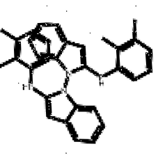 Cc1cccc(Pc2cc3ccccc3n2-n2c(Pc3cccc(C)c3C)cc3ccccc32)c1C